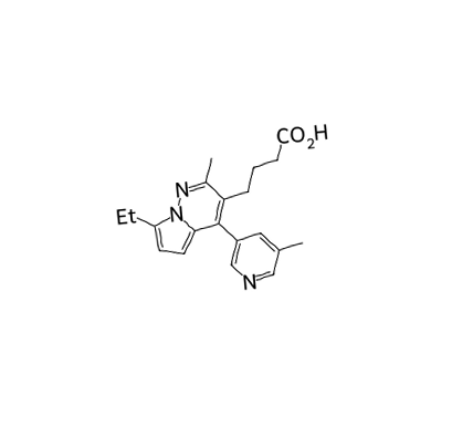 CCc1ccc2c(-c3cncc(C)c3)c(CCCC(=O)O)c(C)nn12